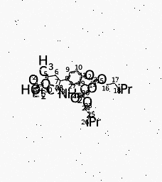 CCC(=O)OC(C)CC(c1ccc(OC(=O)OCCC(C)C)c(OC(=O)OCCC(C)C)c1)[C@H](N)C(=O)O